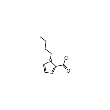 CCCCn1cccc1C(=O)Cl